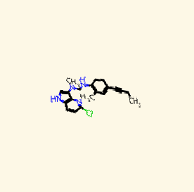 CCC#CC1=CC(C)=C(NCN(C)c2c[nH]c3ccc(Cl)nc23)CC1